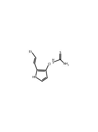 CCC=Cc1[nH]ccc1Cl.NC(=S)S